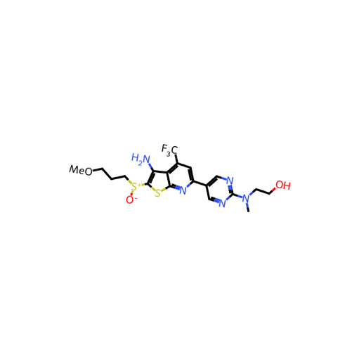 COCCC[S+]([O-])c1sc2nc(-c3cnc(N(C)CCO)nc3)cc(C(F)(F)F)c2c1N